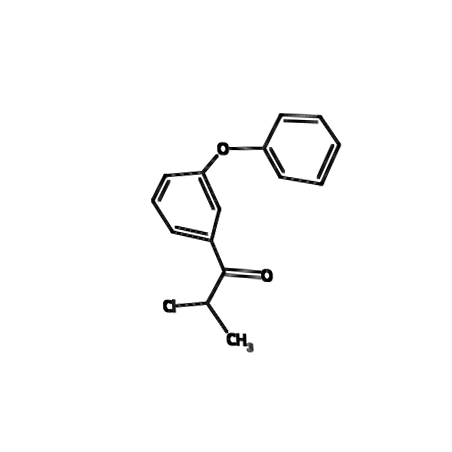 CC(Cl)C(=O)c1cccc(Oc2ccccc2)c1